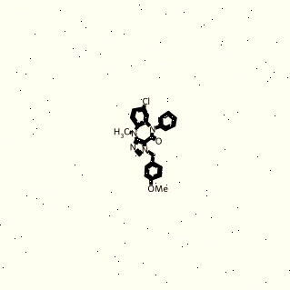 COc1ccc(Cn2cnc3c2C(=O)N(c2ccccc2)c2cc(Cl)ccc2N3C)cc1